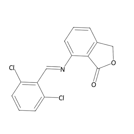 O=C1OCc2cccc(/N=C/c3c(Cl)cccc3Cl)c21